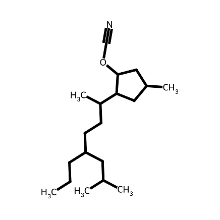 CCCC(CCC(C)C1CC(C)CC1OC#N)CC(C)C